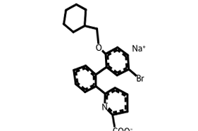 O=C([O-])c1cccc(-c2ccccc2-c2cc(Br)ccc2OCC2CCCCC2)n1.[Na+]